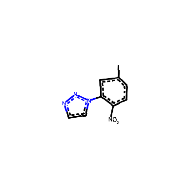 Cc1ccc([N+](=O)[O-])c(-n2ccnn2)c1